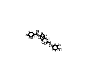 O=C(COc1ccc(Cl)c(F)c1)NC1=C2CC(NC(=O)c3ccc(F)cc3)(C2)CC1O